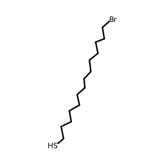 SCCCCCCCCCCCCCCBr